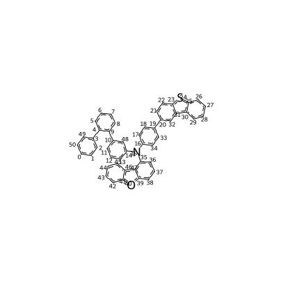 c1ccc(-c2ccccc2-c2cccc(N(c3ccc(-c4ccc5sc6ccccc6c5c4)cc3)c3cccc4oc5ccccc5c34)c2)cc1